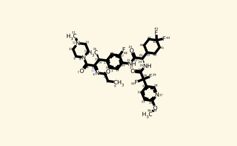 CCC(=O)/N=C(/C(=O)N1CCN(C)CC1)[C@@H](C)c1ccc(NC(=O)[C@@H](NC(=O)C(F)(F)c2ccc(OC)nc2)C2CCC(F)(F)CC2)c(F)c1